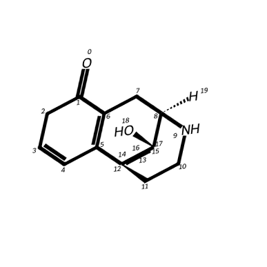 O=C1CC=CC2=C1C[C@H]1NCC[C@@]23CCCC[C@@]13O